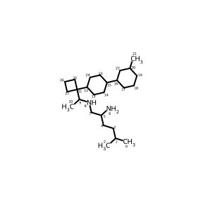 CC(C)CCC(N)CNC(C)C1(C2CCC(C3CCCC(C)C3)CC2)CCC1